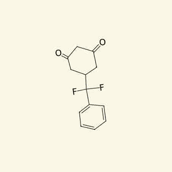 O=C1CC(=O)CC(C(F)(F)c2ccccc2)C1